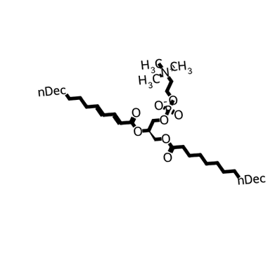 CCCCCCCCCCCCC/C=C/C=C/C(=O)O[C@H](COC(=O)CCCCCCCCCCCCCCCCC)COP(=O)([O-])OCC[N+](C)(C)C